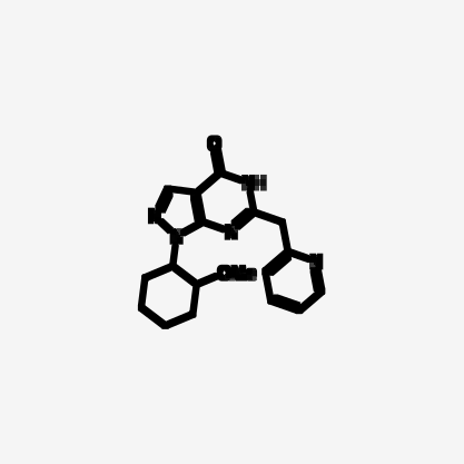 COC1CCCCC1n1ncc2c(=O)[nH]c(Cc3ccccn3)nc21